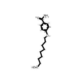 CCCCCCCCCCCCCCCCCCOc1ccc(C(N)=O)cc1